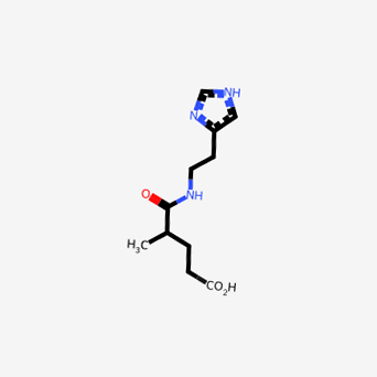 CC(CCC(=O)O)C(=O)NCCc1c[nH]cn1